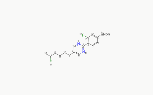 CCCCCCCCCc1ccc(-c2ncc(CCCCC(C)F)cn2)c(F)c1